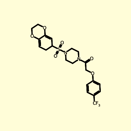 O=C(COc1ccc(C(F)(F)F)cc1)N1CCN(S(=O)(=O)C2C=C3OCCOC3=CC2)CC1